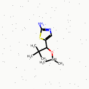 C[SiH](C)OC(c1cnc(N)s1)C(C)(C)C